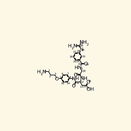 NCCCOc1ccc(NC(=O)C(CC(=O)O)NC(=O)CNC(=O)c2cccc(N=C(N)N)c2)cc1